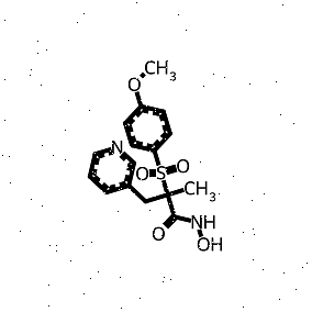 COc1ccc(S(=O)(=O)C(C)(Cc2cccnc2)C(=O)NO)cc1